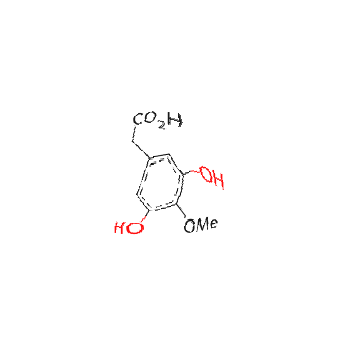 COc1c(O)cc(CC(=O)O)cc1O